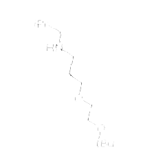 CC(C)CNCCCOCCOC(C)(C)C